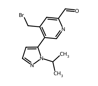 CC(C)n1nccc1-c1cnc(C=O)cc1CBr